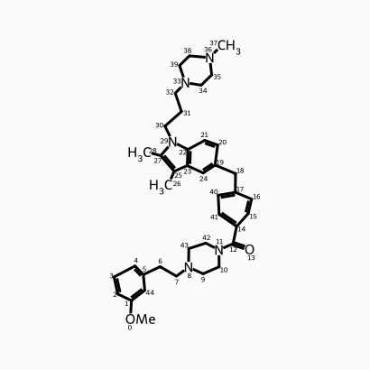 COc1cccc(CCN2CCN(C(=O)c3ccc(Cc4ccc5c(c4)c(C)c(C)n5CCCN4CCN(C)CC4)cc3)CC2)c1